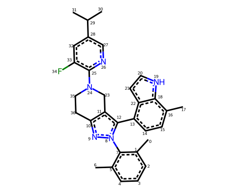 Cc1cccc(C)c1-n1nc2c(c1-c1ccc(C)c3[nH]ccc13)CN(c1ncc(C(C)C)cc1F)CC2